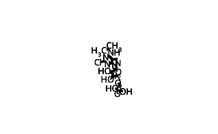 CC(C)Nc1nc(Cl)nc2c1cnn2[C@@H]1O[C@H](COCP(=O)(O)O)[C@@H](O)[C@H]1O